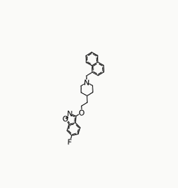 Fc1ccc2c(OCCC3CCN(Cc4cccc5ccccc45)CC3)noc2c1